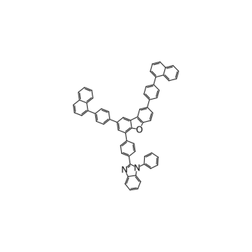 c1ccc(-n2c(-c3ccc(-c4cc(-c5ccc(-c6cccc7ccccc67)cc5)cc5c4oc4ccc(-c6ccc(-c7cccc8ccccc78)cc6)cc45)cc3)nc3ccccc32)cc1